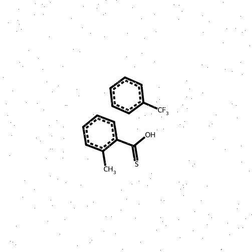 Cc1ccccc1C(O)=S.FC(F)(F)c1ccccc1